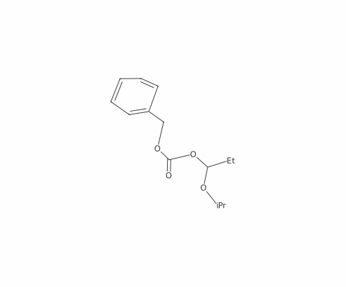 CCC(OC(=O)OCc1ccccc1)OC(C)C